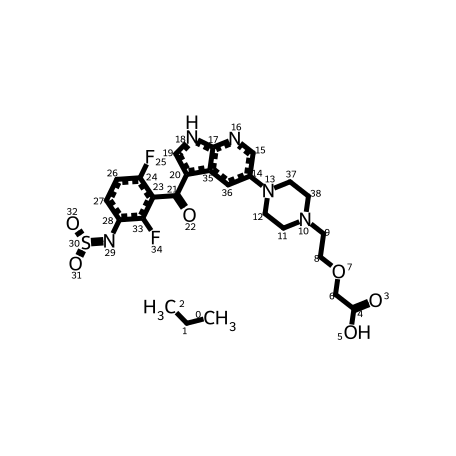 CCC.O=C(O)COCCN1CCN(c2cnc3[nH]cc(C(=O)c4c(F)ccc(N=S(=O)=O)c4F)c3c2)CC1